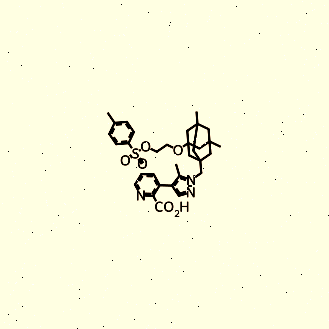 Cc1ccc(S(=O)(=O)OCCOC23CC4(C)CC(C)(CC(Cn5ncc(-c6cccnc6C(=O)O)c5C)(C4)C2)C3)cc1